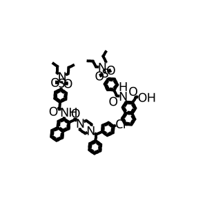 CCCN(CCC)S(=O)(=O)c1ccc(C(=O)Nc2cc3ccccc3cc2C(=O)N2CCN(C(c3ccccc3)c3ccc(Cl)cc3)CC2)cc1.CCCN(CCC)S(=O)(=O)c1ccc(C(=O)Nc2cc3ccccc3cc2C(=O)O)cc1